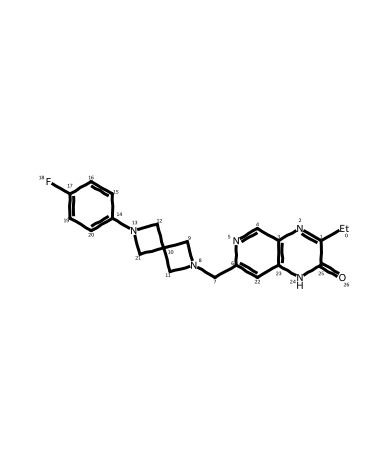 CCc1nc2cnc(CN3CC4(C3)CN(c3ccc(F)cc3)C4)cc2[nH]c1=O